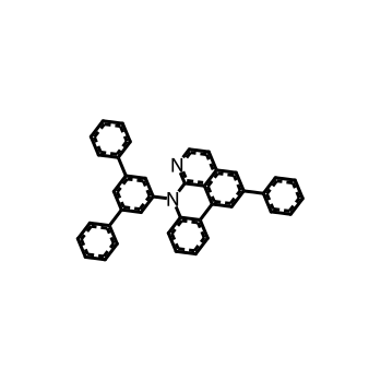 c1ccc(-c2cc(-c3ccccc3)cc(N3c4ccccc4-c4cc(-c5ccccc5)cc5ccnc3c45)c2)cc1